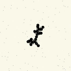 c1ccc(-c2ccc(-c3nc(-c4ccc(-c5ccc(-c6ccc7c(c6)c6cc8ccccc8cc6n7-c6cc(-c7nc(-c8cccc(-c9ccccc9)c8)nc(-c8ccc9ccccc9c8)n7)cc7c6oc6ccccc67)cc5)cc4)nc(-c4cc(-n5c6ccccc6c6cc7ccccc7cc65)c5oc6ccccc6c5c4)n3)cc2)cc1